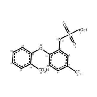 CCCCCCCCS(=O)(=O)Nc1cc(C(F)(F)F)ccc1Oc1ccccc1C(=O)O